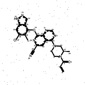 C=CC(=O)N1CCN(c2ncnc3c(Oc4c(C)c(Cl)cc5[nH]ncc45)nc(C#N)cc23)C[C@H]1C